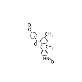 Cc1cc(C)c(Cc2ccc(NC=O)cc2)c(C(=O)N2CCC(OC=O)CC2)c1